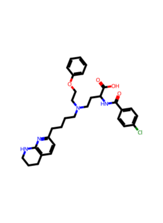 O=C(NC(CCN(CCCCc1ccc2c(n1)NCCC2)CCOc1ccccc1)C(=O)O)c1ccc(Cl)cc1